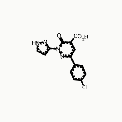 O=C(O)c1cc(-c2ccc(Cl)cc2)nn(-c2cc[nH]n2)c1=O